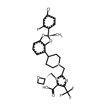 C[C@]1(c2ccc(Cl)cc2F)Oc2cccc(C3CCN(Cc4nc(C(F)(F)F)c(C(=O)O)n4C[C@@H]4CCO4)CC3)c2O1